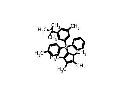 CC1=C(C)C(C)C([Si](c2ccccc2)(c2ccc(C)cc2)c2cc(C)cc([Si](C)(C)C)c2)=C1C